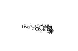 CC(C)(C)CCCOc1ccc(Nc2nnns2)cc1